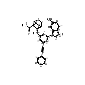 O=C(O)C1C2CCC(CC2)C1Nc1cc(C#Cc2ccccc2)nc(-c2n[nH]c3ncc(Cl)cc23)n1